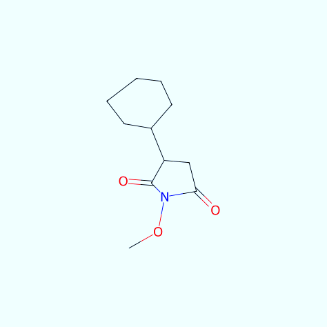 CON1C(=O)CC(C2CCCCC2)C1=O